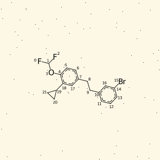 FC(F)Oc1ccc(CCc2cccc(Br)c2)cc1C1CC1